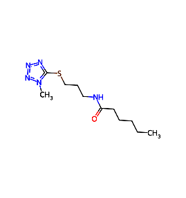 CCCCCC(=O)NCCCSc1nnnn1C